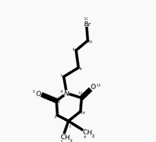 CC1(C)CC(=O)N(CCCCBr)C(=O)C1